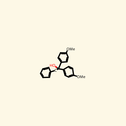 COc1ccc(C(O)(Cc2ccccc2)c2ccc(OC)cc2)cc1